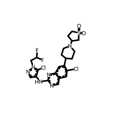 O=S1(=O)CCC(N2CCC(c3cc4nc(Nc5cnn(CC(F)F)c5Cl)ncc4cc3Cl)CC2)C1